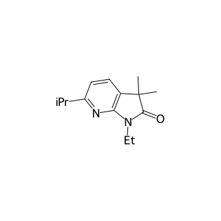 CCN1C(=O)C(C)(C)c2ccc(C(C)C)nc21